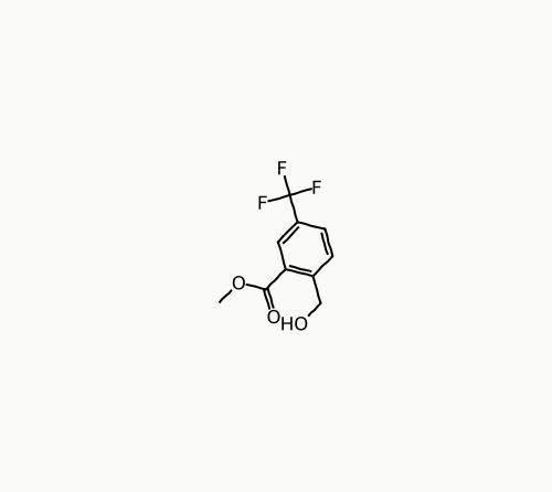 COC(=O)c1cc(C(F)(F)F)ccc1CO